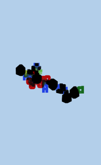 CN(C)CC[C@H](CSc1ccccc1)Nc1c([N+](=O)[O-])cc(S(=O)(=O)NC(=O)c2ccc(N3CCN(Cc4ccccc4-c4ccc(Cl)cc4)CC3)cc2)cc1C(F)(F)F